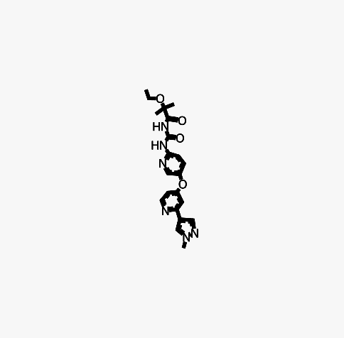 CCOC(C)(C)C(=O)NC(=O)Nc1ccc(Oc2ccnc(-c3cnn(C)c3)c2)cn1